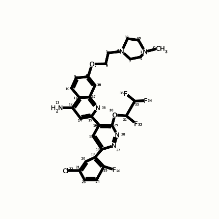 CN1CCN(CCOc2ccc3c(N)cc(-c4cc(-c5cc(Cl)ccc5F)nnc4OC(F)C(F)F)nc3c2)CC1